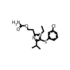 CCn1c(CCOC(N)=O)nc(C(C)C)c1Sc1cccc(Cl)c1